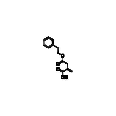 C=C(CC(=O)OC=Cc1ccccc1)C(=O)O